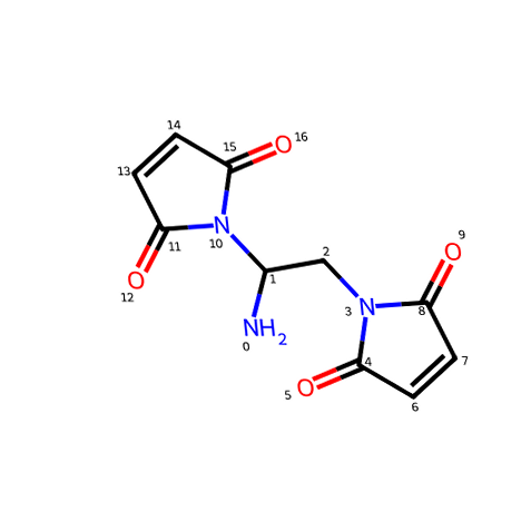 NC(CN1C(=O)C=CC1=O)N1C(=O)C=CC1=O